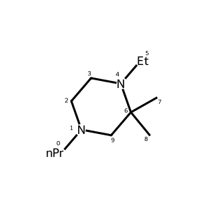 CCCN1CCN(CC)C(C)(C)C1